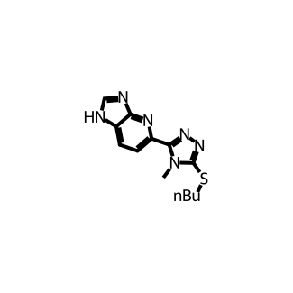 CCCCSc1nnc(-c2ccc3[nH]cnc3n2)n1C